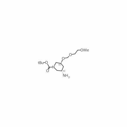 COCCOCO[C@H]1C[C@H](N)CN(C(=O)OC(C)(C)C)C1